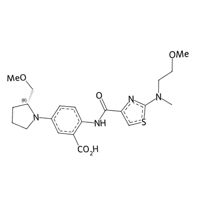 COCCN(C)c1nc(C(=O)Nc2ccc(N3CCC[C@@H]3COC)cc2C(=O)O)cs1